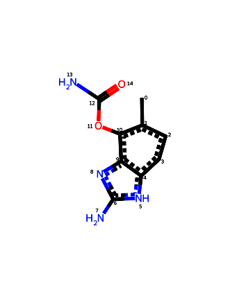 Cc1ccc2[nH]c(N)nc2c1OC(N)=O